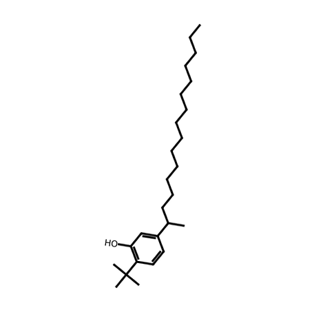 CCCCCCCCCCCCCCC(C)c1ccc(C(C)(C)C)c(O)c1